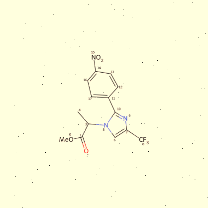 COC(=O)C(C)n1cc(C(F)(F)F)nc1-c1ccc([N+](=O)[O-])cc1